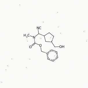 [C-]#[N+]C(C1CCC(CO)C1)N(C)C(=O)OCc1ccccc1